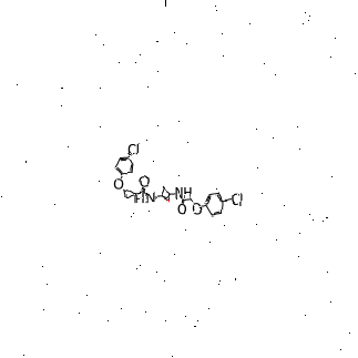 O=C(COc1ccc(Cl)cc1)NC12CC(NC(=O)C3CC3Oc3ccc(Cl)cc3)(C1)C2